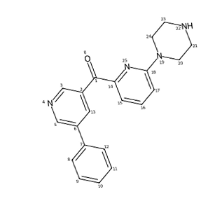 O=C(c1cncc(-c2ccccc2)c1)c1cccc(N2CCNCC2)n1